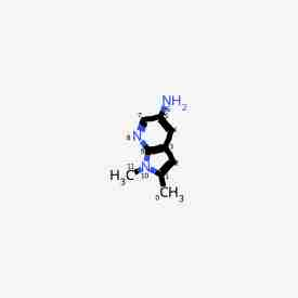 Cc1cc2cc(N)cnc2n1C